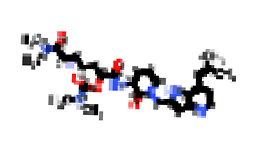 CC(C)=Cc1ccnc2cc(Cn3cccc(NC(=O)C(CC/C=C/C(=O)N(C)C)OC(=O)N(C)C)c3=O)[nH]c12